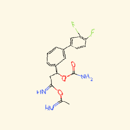 CC(=N)OC(=N)CC(OC(N)=O)c1cccc(-c2ccc(F)c(F)c2)c1